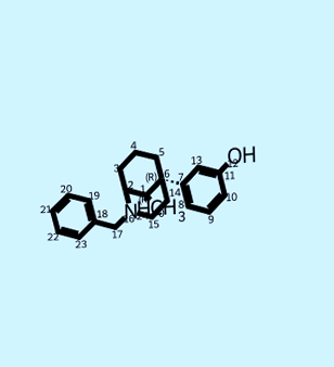 C[C@H]1C2CCC[C@@]1(c1cccc(O)c1)CCN2Cc1ccccc1